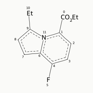 CCOC(=O)c1ccc(F)c2ccc(CC)n12